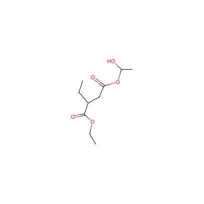 CCOC(=O)C(CC)CC(=O)OC(C)O